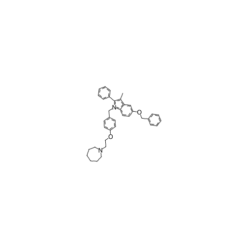 Cc1c(-c2ccccc2)n(Cc2ccc(OCCN3CCCCCC3)cc2)c2ccc(OCc3ccccc3)cc12